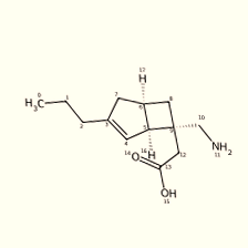 CCCC1=C[C@H]2[C@@H](C1)C[C@@]2(CN)CC(=O)O